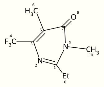 CCc1nc(C(F)(F)F)c(C)c(=O)n1C